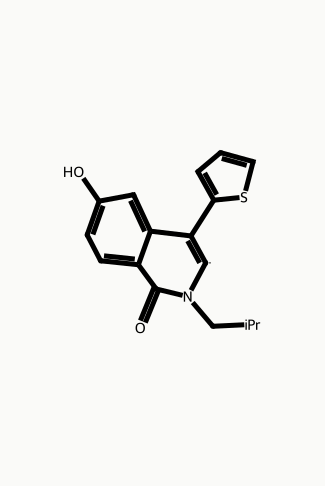 CC(C)Cn1[c]c(-c2cccs2)c2cc(O)ccc2c1=O